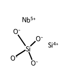 [Nb+5].[O-][Si]([O-])([O-])[O-].[Si+4]